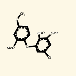 COc1cc(OC(F)(F)F)ccc1Oc1cc(Cl)cc(OC)c1C=O